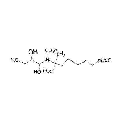 CCCCCCCCCCCCCCCC(C)(C)N(C(=O)O)C(O)C(O)CO